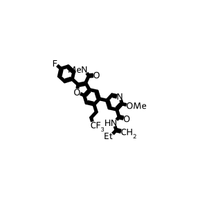 C=C(CC)NC(=O)c1cc(-c2cc3c(C(=O)NC)c(-c4ccc(F)cc4)oc3cc2CCC(F)(F)F)cnc1OC